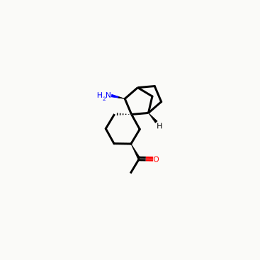 CC(=O)[C@H]1CCC[C@@]2(C1)[C@H]1CCC(C1)[C@@H]2N